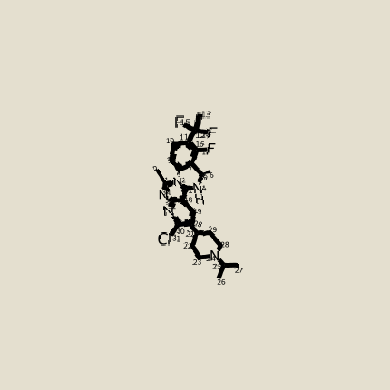 Cc1nc(N[C@H](C)c2cccc(C(C)(F)F)c2F)c2cc(C3CCN(C(C)C)CC3)c(Cl)nc2n1